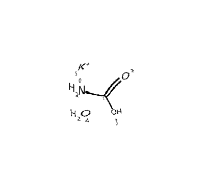 NC(=O)O.O.[K+]